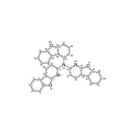 c1ccc2c(c1)oc1nc(N(c3ccc4c(n3)oc3ccccc34)c3cccc4oc5ccccc5c34)ccc12